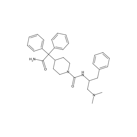 CN(C)CC(Cc1ccccc1)NC(=O)N1CCC(C(C(N)=O)(c2ccccc2)c2ccccc2)CC1